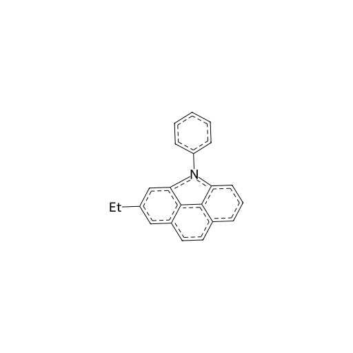 CCc1cc2ccc3cccc4c3c2c(c1)n4-c1ccccc1